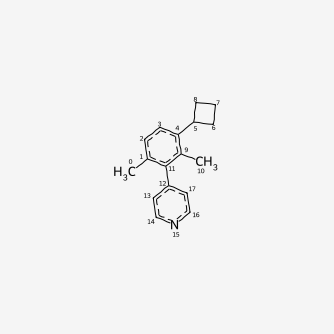 Cc1ccc(C2CCC2)c(C)c1-c1ccncc1